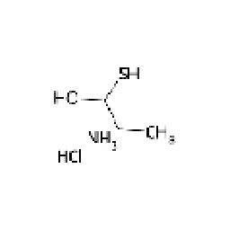 CCC(O)S.Cl.N